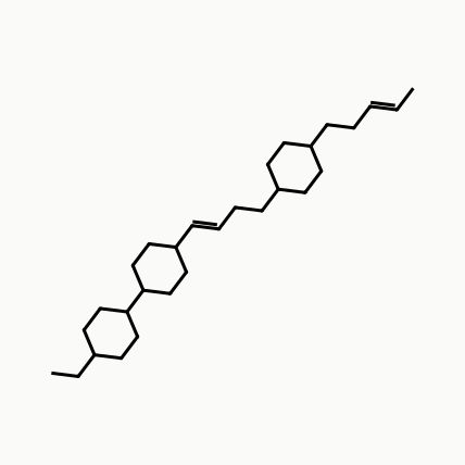 CC=CCCC1CCC(CCC=CC2CCC(C3CCC(CC)CC3)CC2)CC1